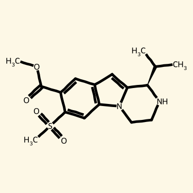 COC(=O)c1cc2cc3n(c2cc1S(C)(=O)=O)CCN[C@@H]3C(C)C